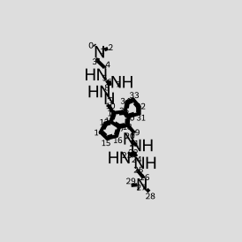 CN(C)CCNC(=N)NN=Cc1c2ccccc2c(C=NNC(=N)NCCN(C)C)c2ccccc12